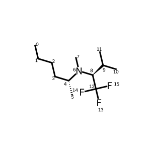 CCCC[C@@H](C)N(C)[C@@H](C(C)C)C(F)(F)F